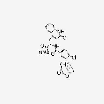 C1CC2CCC12.CC1OC1=O.CNC(=O)C(Cc1cc(=O)[nH]c2ccccc12)NC(=O)c1ccc(Cl)cc1